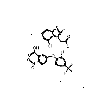 O=C(O)Cn1c(=O)sc2cccc(Cl)c21.O=C(O)c1cc(Oc2ccc(C(F)(F)F)cc2Cl)ccc1[N+](=O)[O-]